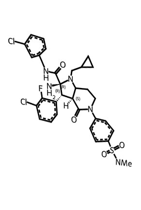 CNS(=O)(=O)c1ccc(N2CCC3[C@@H](C2=O)[C@H](c2cccc(Cl)c2F)[C@](N)(C(=O)Nc2cccc(Cl)c2)N3CC2CC2)cc1